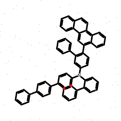 c1ccc(-c2ccc(-c3ccc(N(c4ccc(-c5cc6c7ccccc7ccc6c6ccccc56)c(-c5ccccc5)c4)c4ccccc4-c4ccccc4)cc3)cc2)cc1